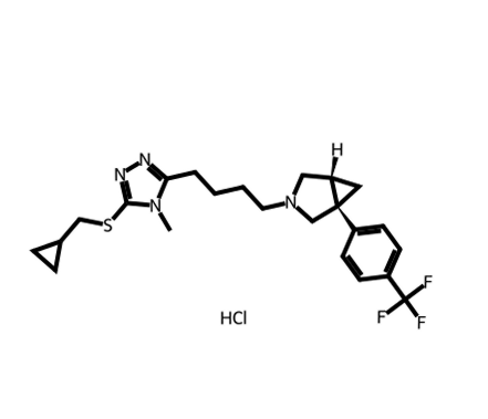 Cl.Cn1c(CCCCN2C[C@@H]3C[C@]3(c3ccc(C(F)(F)F)cc3)C2)nnc1SCC1CC1